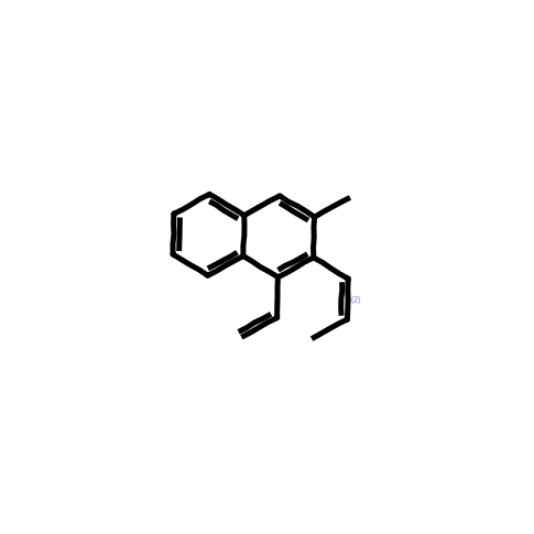 C=Cc1c(/C=C\C)c(C)cc2ccccc12